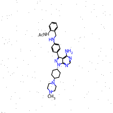 CC(=O)Nc1ccccc1CNc1ccc(-c2nn([C@H]3CC[C@H](N4CCN(C)CC4)CC3)c3ncnc(N)c23)cc1